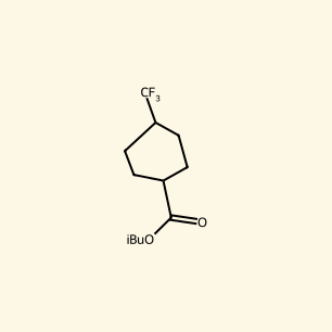 CC(C)COC(=O)C1CCC(C(F)(F)F)CC1